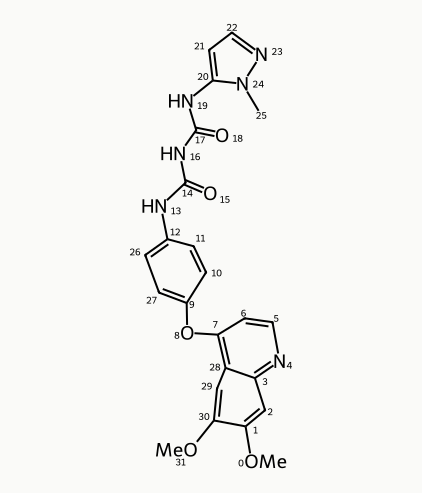 COc1cc2nccc(Oc3ccc(NC(=O)NC(=O)Nc4ccnn4C)cc3)c2cc1OC